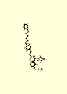 O=C(O)c1ccc(OCCCc2ccc(OCCCCOc3ccccc3)cc2)c(C(=O)C2CNC2)c1